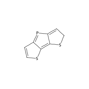 C1=C2P=c3ccsc3=C2SC1